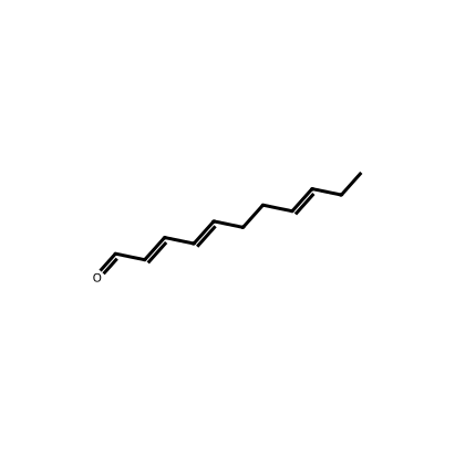 CCC=CCCC=CC=CC=O